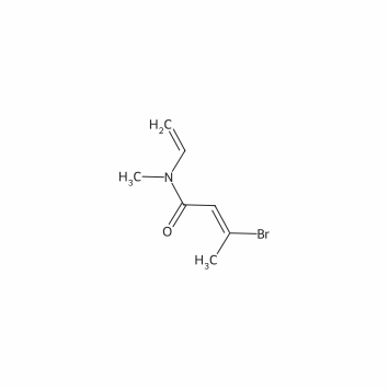 C=CN(C)C(=O)/C=C(\C)Br